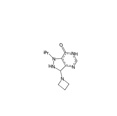 CC(C)N1NC(N2CCC2)c2nc[nH]c(=O)c21